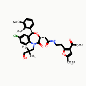 CCOC(=O)c1cc(C(=O)OC)c(CCNC(=O)C[C@H]2O[C@H](c3cccc(OC)c3OC)c3cc(Cl)ccc3N(CC(C)(C)CO)C2=O)o1